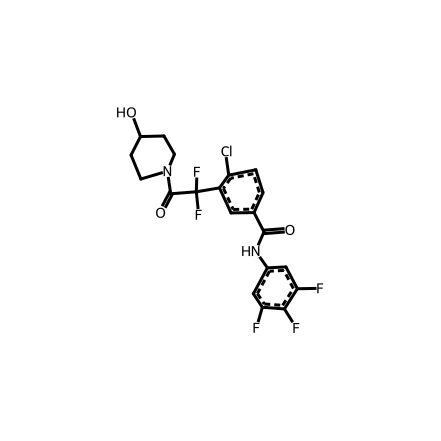 O=C(Nc1cc(F)c(F)c(F)c1)c1ccc(Cl)c(C(F)(F)C(=O)N2CCC(O)CC2)c1